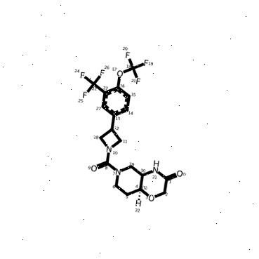 O=C1CO[C@H]2CCN(C(=O)N3CC(c4ccc(OC(F)(F)F)c(C(F)(F)F)c4)C3)CC2N1